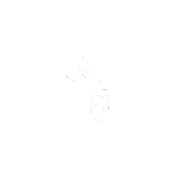 Nc1ccc2c(c1)C1(c3ccccc3Oc3ccccc31)c1cc(-c3cccc(-c4nc(-c5ccccc5)nc(-c5ccccc5)n4)c3)ccc1-2